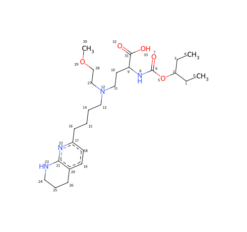 CCC(CC)OC(=O)NC(CCN(CCCCc1ccc2c(n1)NCCC2)CCOC)C(=O)O